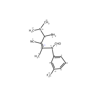 BC(/C(C#N)=C(/C)N(C=O)c1cccc(C(F)(F)F)c1)N(C)C